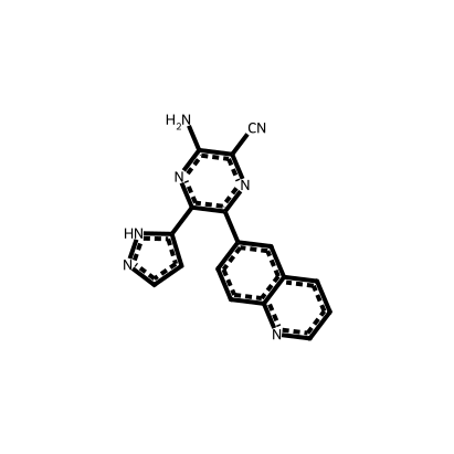 N#Cc1nc(-c2ccc3ncccc3c2)c(-c2ccn[nH]2)nc1N